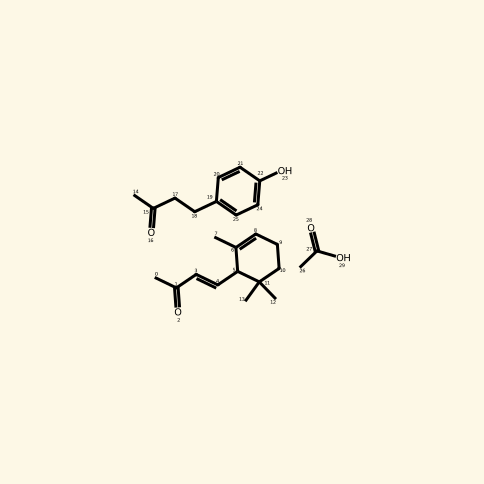 CC(=O)C=CC1C(C)=CCCC1(C)C.CC(=O)CCc1ccc(O)cc1.CC(=O)O